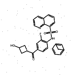 O=C(c1ccc(NS(=O)(=O)c2cccc3cccnc23)c(F)c1)N1CC(O)C1.c1cc2cc(c1)C2